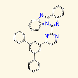 c1ccc(-c2cc(-c3ccccc3)cc(-c3ccnc(-c4nc5ccccc5c5nc6ccccc6n45)n3)c2)cc1